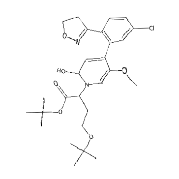 COC1=CN(C(CCOC(C)(C)C)C(=O)OC(C)(C)C)C(O)C=C1c1cc(Cl)ccc1C1=NOCC1